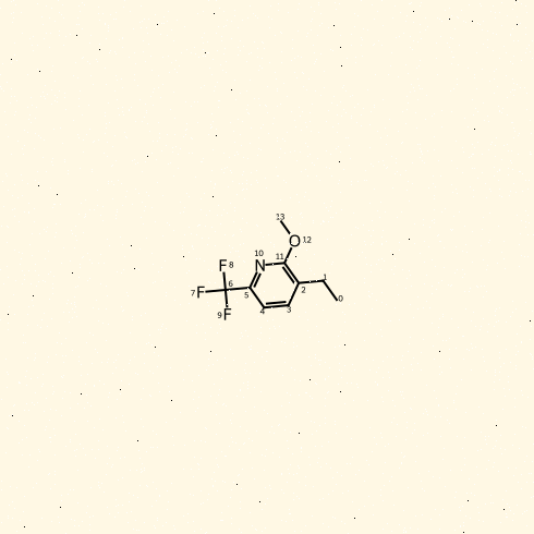 CCc1ccc(C(F)(F)F)nc1OC